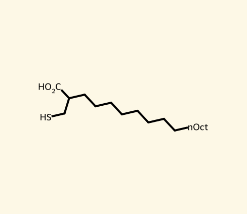 CCCCCCCCCCCCCCCCC(CS)C(=O)O